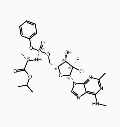 CNc1nc(C)nc2c1ncn2[C@@H]1O[C@H](CO[P@@](=O)(N[C@@H](C)C(=O)OC(C)C)Oc2ccccc2)[C@@H](O)[C@@]1(F)Cl